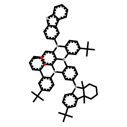 Cc1cc2c3c(c1)N(c1ccc(C(C)(C)C)cc1-c1ccccc1)c1cc(N4c5ccc(C(C)(C)C)cc5C5(C)CCCCC45C)ccc1B3c1cc(C(C)(C)C)ccc1N2c1ccc2sc3ccccc3c2c1